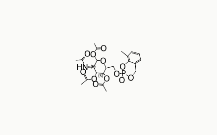 CC(=O)N[C@H]1C(OC(C)=O)OC(COP2(=O)OCc3cccc(C)c3O2)[C@@H](OC(C)=O)C1OC(C)=O